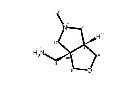 CN1C[C@@H]2COC[C@]2(CN)C1